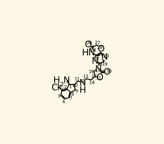 NC1c2c(Cl)cccc2CC1CNCCC1CN(c2cnc3c(n2)NC(=O)CO3)C(=O)O1